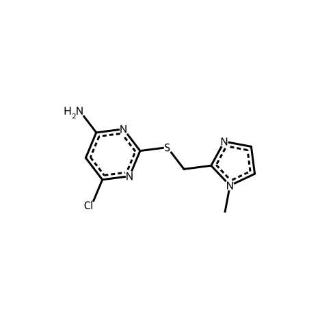 Cn1ccnc1CSc1nc(N)cc(Cl)n1